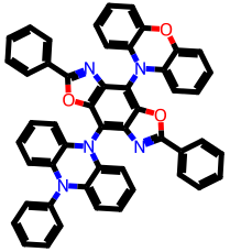 c1ccc(-c2nc3c(N4c5ccccc5N(c5ccccc5)c5ccccc54)c4oc(-c5ccccc5)nc4c(N4c5ccccc5Oc5ccccc54)c3o2)cc1